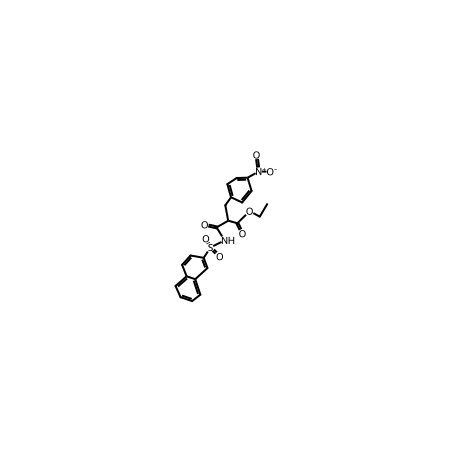 CCOC(=O)C(Cc1ccc([N+](=O)[O-])cc1)C(=O)NS(=O)(=O)c1ccc2ccccc2c1